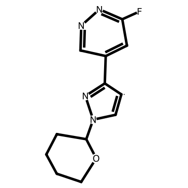 Fc1cc(-c2[c]cn(C3CCCCO3)n2)cnn1